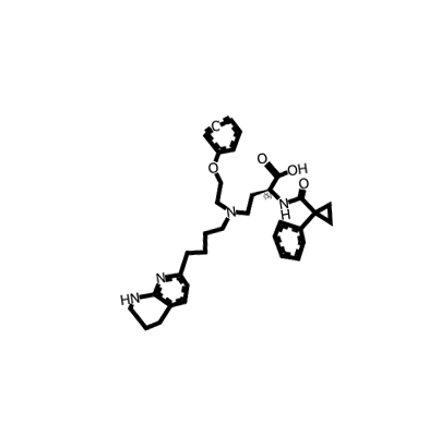 O=C(O)[C@H](CCN(CCCCc1ccc2c(n1)NCCC2)CCOc1ccccc1)NC(=O)C1(c2ccccc2)CC1